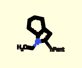 C=Cn1c(CCCCC)cc2ccccc21